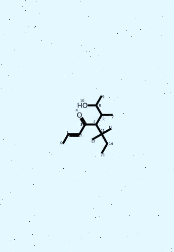 C/C=C/C(=O)C(C(C)C(C)O)C(C)(C)CC